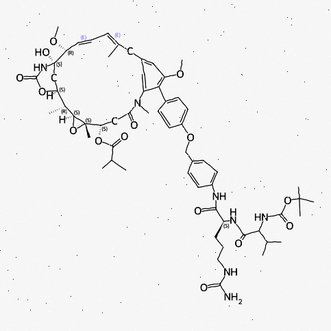 COc1cc2cc(c1-c1ccc(OCc3ccc(NC(=O)[C@H](CCCNC(N)=O)NC(=O)C(NC(=O)OC(C)(C)C)C(C)C)cc3)cc1)N(C)C(=O)C[C@H](OC(=O)C(C)C)[C@]1(C)O[C@H]1[C@H](C)[C@@H]1C[C@@](O)(NC(=O)O1)[C@H](OC)/C=C/C=C(\C)C2